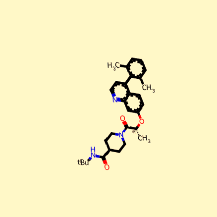 Cc1cccc(C)c1-c1ccnc2cc(O[C@H](C)C(=O)N3CCC(C(=O)NC(C)(C)C)CC3)ccc12